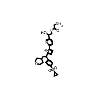 NCC(=O)OCC(O)c1ccc(-c2ccc(C(CC3CCOCC3)c3ccc(S(=O)(=O)C4CC4)cc3)[nH]2)nc1